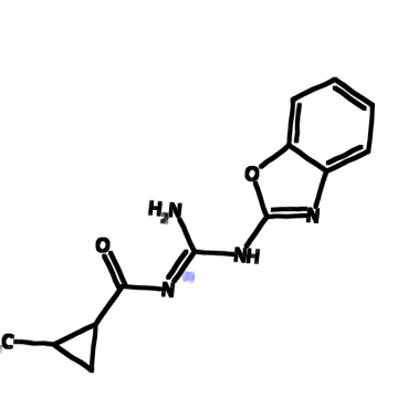 CC1CC1C(=O)/N=C(\N)Nc1nc2ccccc2o1